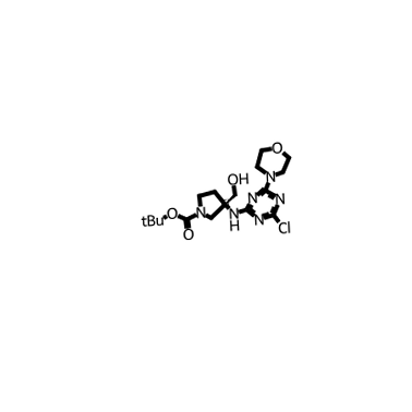 CC(C)(C)OC(=O)N1CC[C@](CO)(Nc2nc(Cl)nc(N3CCOCC3)n2)C1